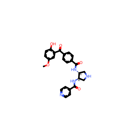 COc1ccc(O)c(C(=O)c2ccc(C(=O)N[C@@H]3CNC[C@H]3NC(=O)c3ccncc3)cc2)c1